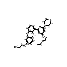 CCOCC.O=c1cc(-c2cccc3c2Sc2ccc(OCCBr)cc2S3)oc(N2CCOCC2)c1